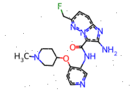 CN1CCC(Oc2ccncc2NC(=O)c2c(N)nc3ccc(CF)nn23)CC1